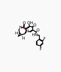 O=C(NCc1ccc(F)cc1F)c1cn2c(c(O)c1=O)C(=O)N1CCC2[C@H]2C[C@H]2C1